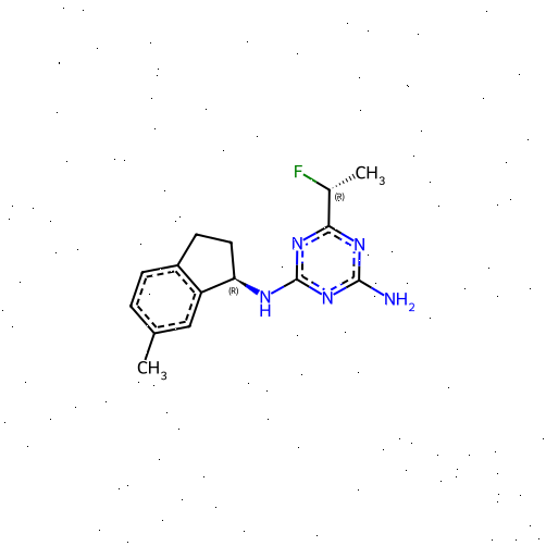 Cc1ccc2c(c1)[C@H](Nc1nc(N)nc([C@@H](C)F)n1)CC2